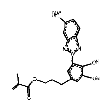 C=C(C)C(=O)OCCCc1cc(-n2nc3ccc(C=O)cc3n2)c(O)c(C(C)(C)C)c1